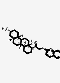 C[C@H]1CC[C@@H]2C3CC[C@]4(C)[C@@H](C(=O)COc5ccc6ccccc6n5)CCC[C@H]4[C@@H]3CC[C@@H]2C1